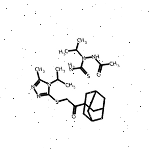 CC(=O)NN(C(N)=S)C(C)C.Cc1nnc(SCC(=O)C23CC4CC(CC(C4)C2)C3)n1C(C)C